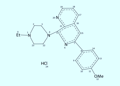 CCN1CCN(c2nc(-c3ccc(OC)cc3)cc3cccnc23)CC1.Cl